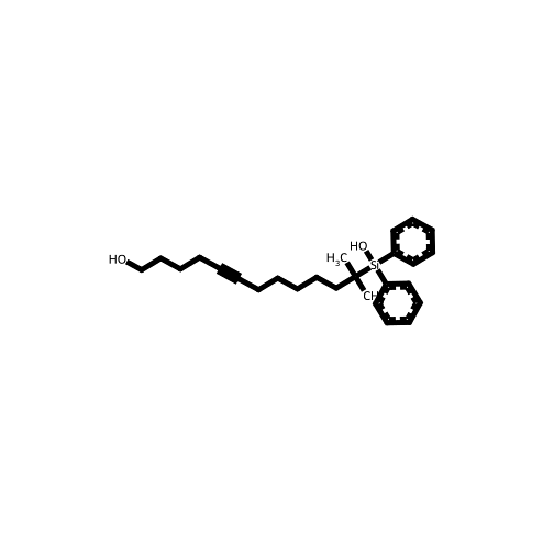 CC(C)(CCCCCC#CCCCCO)[Si](O)(c1ccccc1)c1ccccc1